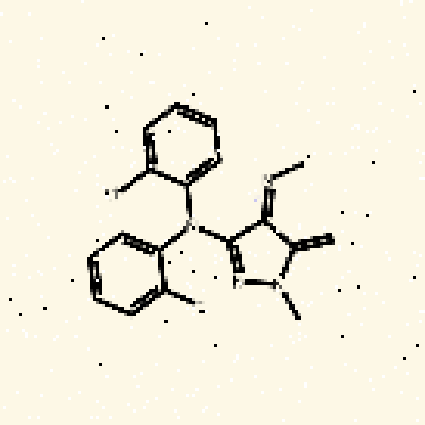 C=C1/C(=N\C)C(N(c2ccccc2Cl)c2ccccc2Cl)=NN1C